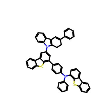 C1=C(c2ccccc2)CCc2c1c1ccccc1n2-c1cc(-c2ccc(N(c3ccccc3)c3cccc4c3sc3ccccc34)cc2)c2sc3ccccc3c2c1